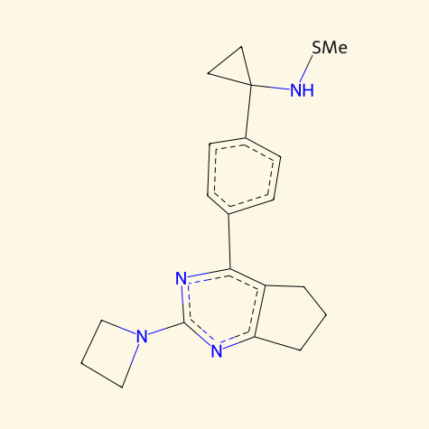 CSNC1(c2ccc(-c3nc(N4CCC4)nc4c3CCC4)cc2)CC1